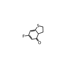 O=C1C=C(F)C=C2SCCC12